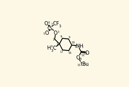 CC1(COS(=O)(=O)C(F)(F)F)CCC(NC(=O)OC(C)(C)C)CC1